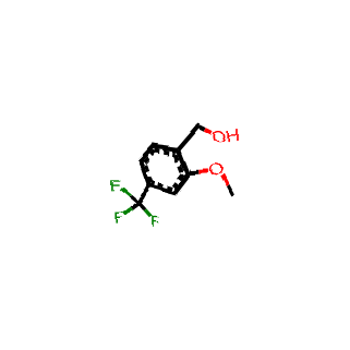 COc1cc(C(F)(F)F)ccc1CO